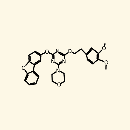 COc1ccc(CCOc2nc(Oc3ccc4oc5ccccc5c4c3)nc(N3CCOCC3)n2)cc1OC